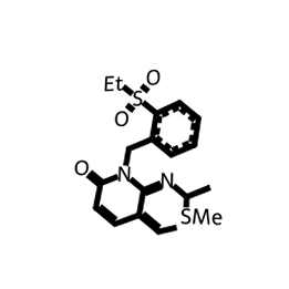 C/C=C1/C=CC(=O)N(Cc2ccccc2S(=O)(=O)CC)/C1=N/C(C)SC